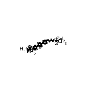 C=C(C)C(=O)OCCCCc1ccc(-c2ccc(-c3ccc(OC(=O)C(=C)C)cc3)cc2)cc1